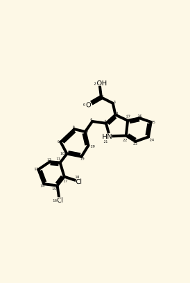 O=C(O)Cc1c(Cc2ccc(-c3cccc(Cl)c3Cl)cc2)[nH]c2ccccc12